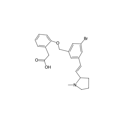 CN1CCCC1C=Cc1cc(Br)cc(COc2ccccc2CC(=O)O)c1